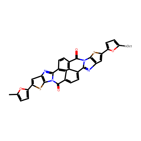 CCCCCCCCc1ccc(-c2cc3nc4c5ccc6c(=O)n7c(nc8cc(-c9ccc(C)o9)sc87)c7ccc(c(=O)n4c3s2)c5c67)o1